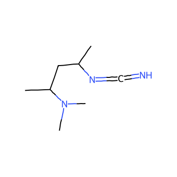 CC(CC(C)N(C)C)N=C=N